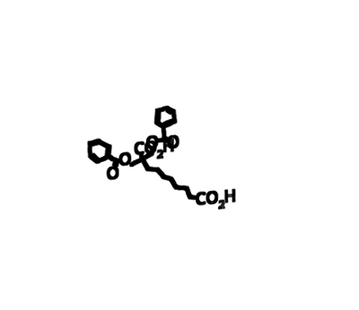 O=C(O)CCCCCCCC(COC(=O)c1ccccc1)(COC(=O)c1ccccc1)C(=O)O